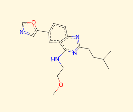 COCCNc1nc(CCC(C)C)nc2ccc(-c3cnco3)cc12